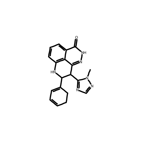 Cn1ncnc1C1c2n[nH]c(=O)c3cccc(c23)NC1C1=CC=CCC1